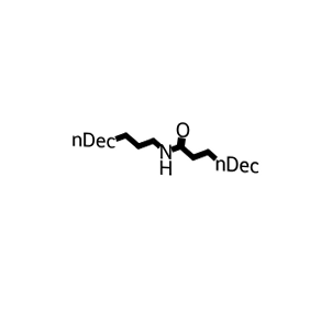 CCCCCCCCCCCCCNC(=O)CCCCCCCCCCCC